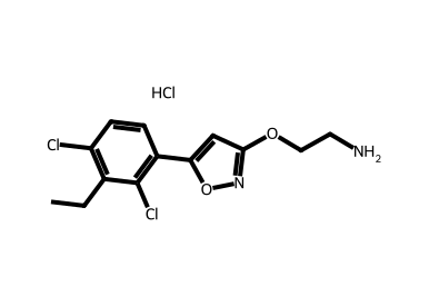 CCc1c(Cl)ccc(-c2cc(OCCN)no2)c1Cl.Cl